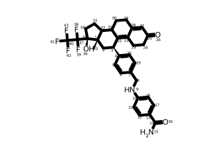 C[C@]12C[C@H](c3ccc(CNc4ccc(C(N)=O)cc4)cc3)C3=C4CCC(=O)C=C4CCC3C1CC[C@@]2(O)C(F)(F)C(F)(F)F